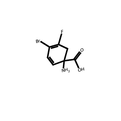 NC1(C(=O)O)C=CC(Br)=C(F)C1